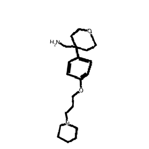 NCC1(c2ccc(OCCCN3CCCCC3)cc2)CCOCC1